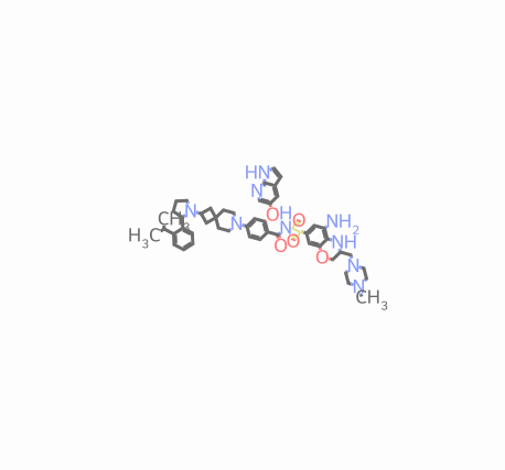 CC(C)c1ccccc1C1CCCN1C1CC2(CCN(c3ccc(C(=O)NS(=O)(=O)c4cc(N)c5c(c4)OCC(CN4CCN(C)CC4)N5)c(Oc4cnc5[nH]ccc5c4)c3)CC2)C1